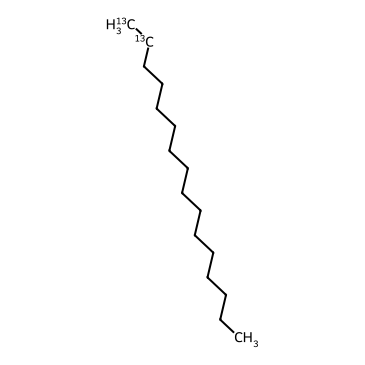 CCCCCCCCCCCCCC[13CH2][13CH3]